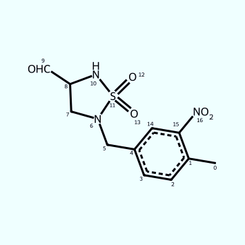 Cc1ccc(CN2CC(C=O)NS2(=O)=O)cc1[N+](=O)[O-]